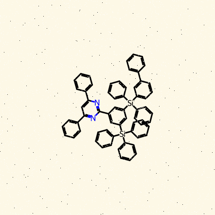 c1ccc(-c2cccc([Si](c3ccccc3)(c3ccccc3)c3cc(-c4nc(-c5ccccc5)cc(-c5ccccc5)n4)cc([Si](c4ccccc4)(c4ccccc4)c4ccccc4)c3)c2)cc1